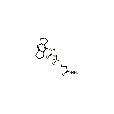 NC(=O)CCC/[SH](=O)=N/C(=O)Nc1c2c(cc3c1CCC3)CCC2